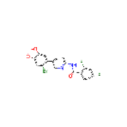 O=C(Nc1ccc(-c2cc3c(cc2Br)OCO3)cn1)c1ccc(F)cc1F